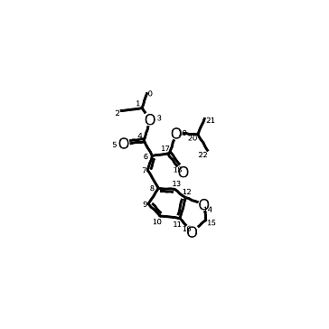 CC(C)OC(=O)C(=Cc1ccc2c(c1)OCO2)C(=O)OC(C)C